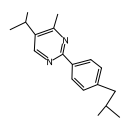 Cc1nc(-c2ccc(CC(C)C)cc2)ncc1C(C)C